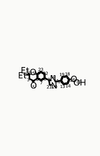 CCC1(CC)CC(=O)c2cc(C3=NC(c4ccc(OO)cc4)=NC3)ccc2O1